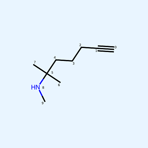 C#CCCCC(C)(C)NC